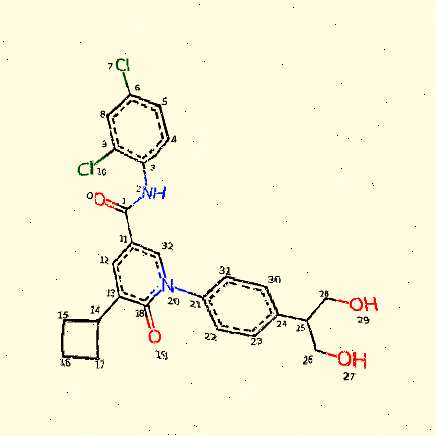 O=C(Nc1ccc(Cl)cc1Cl)c1cc(C2CCC2)c(=O)n(-c2ccc(C(CO)CO)cc2)c1